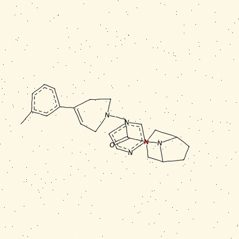 Cc1cccc(C2=CCN(CC(=O)N3CC4CCC(C3)N4c3cnccn3)CC2)c1